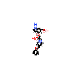 OCc1cc(OCC(O)CN2CCC(COc3ccccc3)CC2)c2cc[nH]c2c1